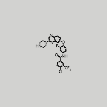 O=C(Nc1ccc(Oc2ccc3ncc(N4CCNCC4)nc3c2)c(F)c1)c1ccc(Cl)c(C(F)(F)F)c1